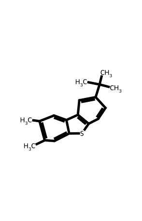 Cc1cc2sc3ccc(C(C)(C)C)cc3c2cc1C